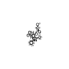 COC1CN(C(=O)COc2cc(C(=O)O)nc3c2c(C2CCC2)nn3-c2ccccc2)C1